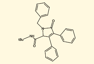 CC(C)(C)NC(=O)C1C(c2ccccc2)=C(c2ccccc2)C(=O)N1Cc1ccccc1